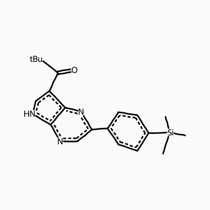 CC(C)(C)C(=O)c1c[nH]c2ncc(-c3ccc([Si](C)(C)C)cc3)nc12